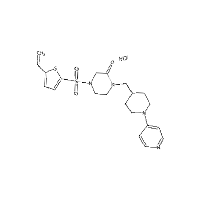 C=Cc1ccc(S(=O)(=O)N2CCN(CC3CCN(c4ccncc4)CC3)C(=O)C2)s1.Cl